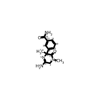 CN1CC(N)=NC(C)(c2cccc(C(N)=O)c2)C1=O